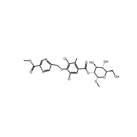 COC(=O)c1cnc(COc2c(Cl)cc(C(=O)O[C@H]3[C@@H](OC)O[C@H](CO)[C@@H](O)[C@@H]3O)c(C)c2Cl)cn1